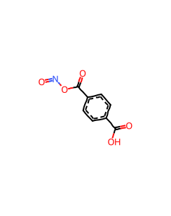 O=NOC(=O)c1ccc(C(=O)O)cc1